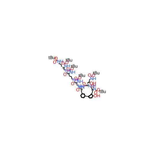 CC(C)(C)OC(=O)NCCC[C@@H](CNC(=O)[C@H](CCCNC(=O)[C@H](CNC(=O)[C@@H]1Cc2cccc(c2)-c2ccc(O)c(c2)C[C@H](NC(=O)OC(C)(C)C)C(=O)N[C@@H](C[C@@H](O)CNC(=O)OC(C)(C)C)C(=O)N1)NC(=O)OC(C)(C)C)NC(=O)OC(C)(C)C)NC(=O)OC(C)(C)C